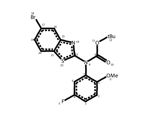 COc1ccc(F)cc1N(C(=O)OC(C)(C)C)c1nc2cc(Br)ccc2s1